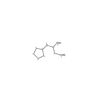 CC(=O)OC(CC=O)OC1CCCC1